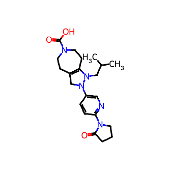 CC(C)CN1C2=C(CCN(C(=O)O)CC2)CN1c1ccc(N2CCCC2=O)nc1